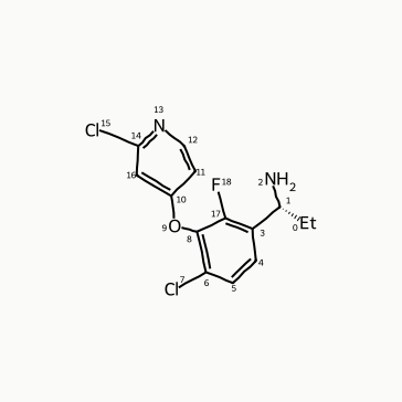 CC[C@@H](N)c1ccc(Cl)c(Oc2ccnc(Cl)c2)c1F